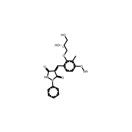 CCCOc1ccc(C=C2C(=O)NN(c3ccccc3)C2=O)c(OC[C@H](O)CO)c1C